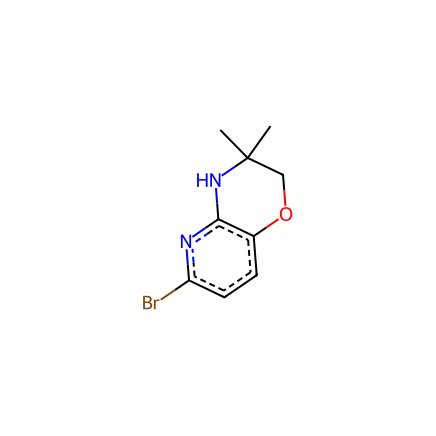 CC1(C)COc2ccc(Br)nc2N1